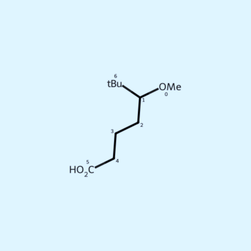 COC(CCCC(=O)O)C(C)(C)C